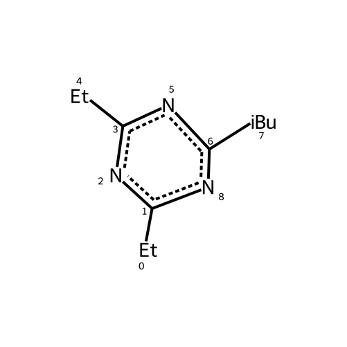 CCc1nc(CC)nc(C(C)CC)n1